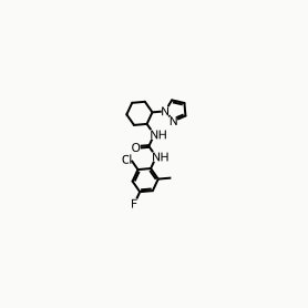 Cc1cc(F)cc(Cl)c1NC(=O)NC1CCCCC1n1cccn1